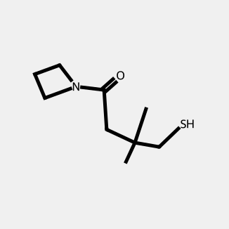 CC(C)(CS)CC(=O)N1CCC1